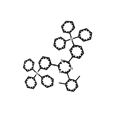 Cc1cccc(C)c1-c1nc(-c2cccc([Si](c3ccccc3)(c3ccccc3)c3ccccc3)c2)nc(-c2cccc([Si](c3ccccc3)(c3ccccc3)c3ccccc3)c2)n1